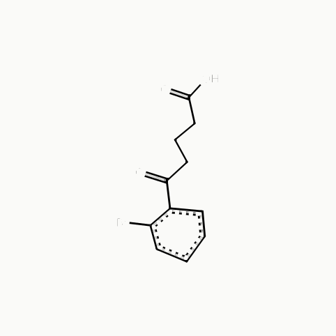 O=C(O)CCCC(=O)c1ccccc1Br